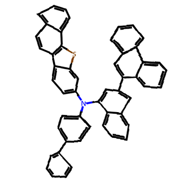 c1ccc(-c2ccc(N(c3ccc4c(c3)sc3c5ccccc5ccc43)c3cc(-c4cc5ccccc5c5ccccc45)cc4ccccc34)cc2)cc1